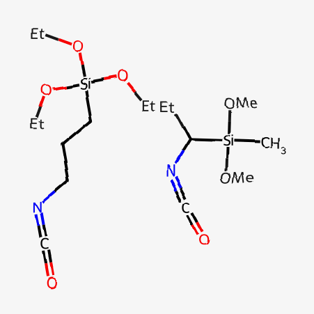 CCC(N=C=O)[Si](C)(OC)OC.CCO[Si](CCCN=C=O)(OCC)OCC